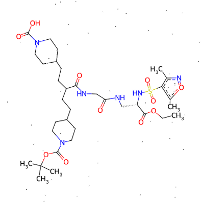 CCOC(=O)[C@H](CNC(=O)CNC(=O)C(CCC1CCN(C(=O)O)CC1)CCC1CCN(C(=O)OC(C)(C)C)CC1)NS(=O)(=O)c1c(C)noc1C